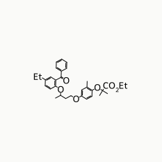 CCOC(=O)C(C)(C)Oc1ccc(OCCC(C)Oc2ccc(CC)cc2C(=O)c2ccccc2)cc1C